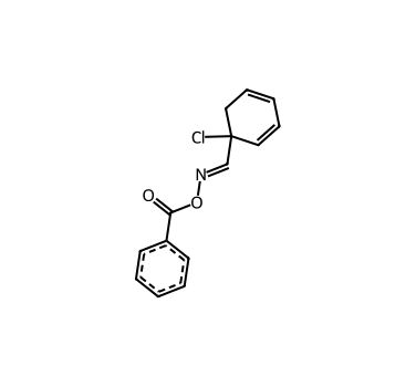 O=C(O/N=C/C1(Cl)C=CC=CC1)c1ccccc1